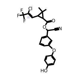 CC1(C)C(/C=C(\Cl)C(F)(F)F)C1C(=O)OC(C#N)c1cccc(Oc2ccc(O)cc2)c1